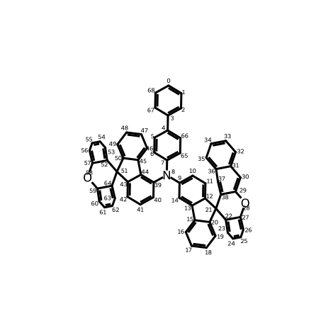 c1ccc(-c2ccc(N(c3ccc4c(c3)-c3ccccc3C43c4ccccc4Oc4cc5ccccc5cc43)c3cccc4c3-c3ccccc3C43c4ccccc4Oc4ccccc43)cc2)cc1